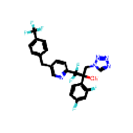 OC(Cn1cnnn1)(c1ccc(F)cc1F)C(F)(F)c1ccc(Cc2ccc(C(F)(F)F)cc2)cn1